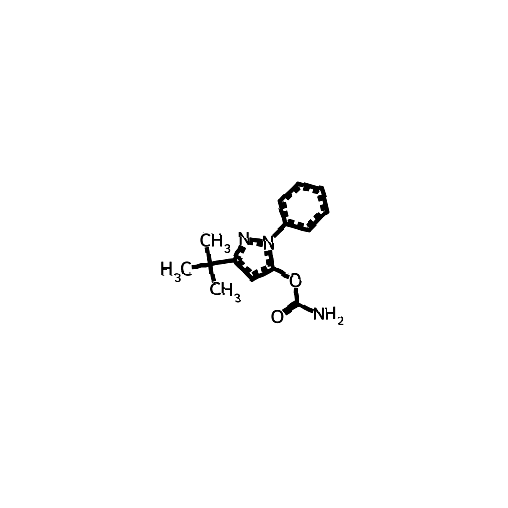 CC(C)(C)c1cc(OC(N)=O)n(-c2ccccc2)n1